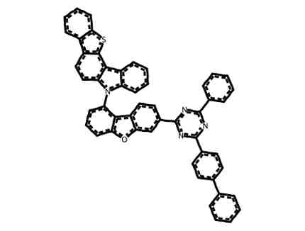 c1ccc(-c2ccc(-c3nc(-c4ccccc4)nc(-c4ccc5c(c4)oc4cccc(-n6c7ccccc7c7c8sc9ccccc9c8ccc76)c45)n3)cc2)cc1